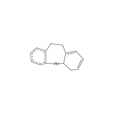 C1=CCC2Pc3ccccc3CCC2=C1